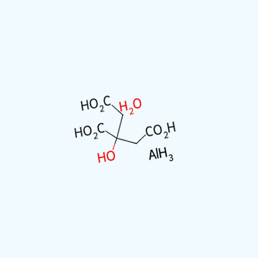 O.O=C(O)CC(O)(CC(=O)O)C(=O)O.[AlH3]